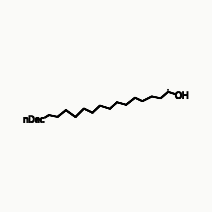 [CH2]CCCCCCCCCCCCCCCCCCCCCCC[CH]O